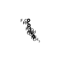 Cc1ncc(OC(=O)N[C@@]2(C(=O)NCc3ccc(Nc4ccccc4C(F)(F)F)cc3F)CCOC2)cn1